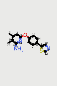 Cc1cc(Oc2ccc(-c3cncs3)cc2)nc(N)c1C